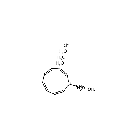 C[s+]1cccccccc1.O.O.O.O.O.[Cl-]